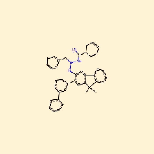 CC1(C)c2ccccc2-c2cc(NN(Cc3ccccc3)NC(N)C3C=CC=CC3)c(-c3cccc(-c4ccccc4)c3)cc21